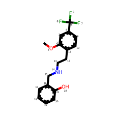 COc1cc(C(F)(F)F)ccc1CCNCc1ccccc1O